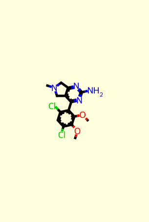 COc1c(Cl)cc(Cl)c(-c2nc(N)nc3c2CN(C)C3)c1OC